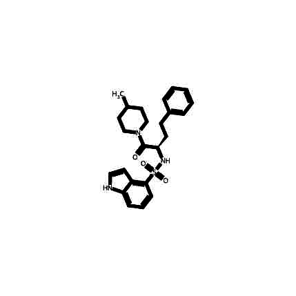 CC1CCN(C(=O)[C@@H](CCc2ccccc2)NS(=O)(=O)c2cccc3[nH]ccc23)CC1